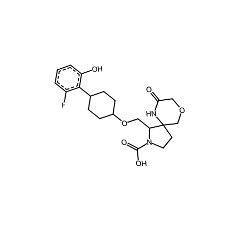 O=C1COCC2(CCN(C(=O)O)C2COC2CCC(c3c(O)cccc3F)CC2)N1